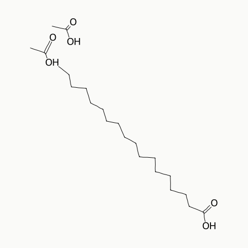 CC(=O)O.CC(=O)O.CCCCCCCCCCCCCCCCCC(=O)O